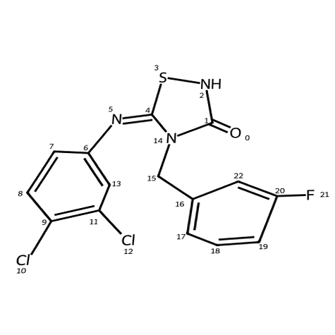 O=c1[nH]sc(=Nc2ccc(Cl)c(Cl)c2)n1Cc1cccc(F)c1